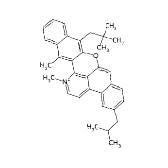 Cc1c2c(c(CC(C)(C)C)c3ccccc13)Oc1cc3ccc(CC(C)C)cc3c3cc[n+](C)c-2c13